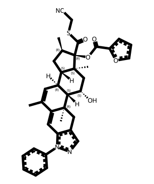 CC1=C[C@@H]2[C@H]([C@@H](O)C[C@@]3(C)[C@H]2C[C@@H](C)[C@]3(OC(=O)c2ccco2)C(=O)SCC#N)[C@@]2(C)Cc3cnn(-c4ccccc4)c3C=C12